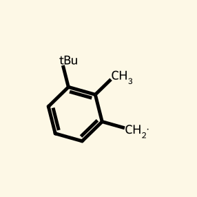 [CH2]c1cccc(C(C)(C)C)c1C